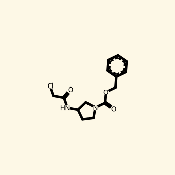 O=C(CCl)NC1CCN(C(=O)OCc2ccccc2)C1